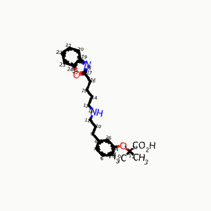 CC(C)(Oc1cccc(CCCNCCCCc2nc3ccccc3o2)c1)C(=O)O